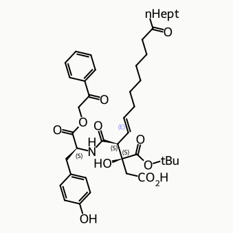 CCCCCCCC(=O)CCCCCC/C=C/[C@H](C(=O)N[C@@H](Cc1ccc(O)cc1)C(=O)OCC(=O)c1ccccc1)[C@@](O)(CC(=O)O)C(=O)OC(C)(C)C